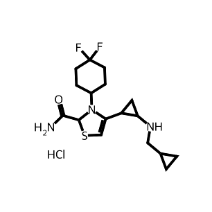 Cl.NC(=O)C1SC=C(C2CC2NCC2CC2)N1C1CCC(F)(F)CC1